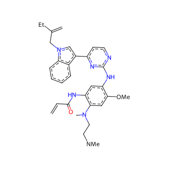 C=CC(=O)Nc1cc(Nc2nccc(-c3cn(CC(=C)CC)c4ccccc34)n2)c(OC)cc1N(C)CCNC